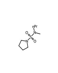 CCCN(C)S(=O)(=O)N1CCCC1